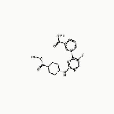 COC(=O)c1cccc(-c2nc(N[C@H]3CC[C@H](C(=O)OC(C)(C)C)CC3)ncc2F)c1